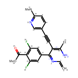 C=C/N=C(\C(C#Cc1ccc(NC)nc1)=C(/N)CC)c1cc(F)c(C(=O)OC)c(F)c1